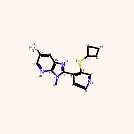 Cn1c(-c2ccncc2SC2CCC2)nc2cc(C(F)(F)F)cnc21